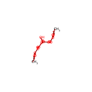 CCCCC[C@H]1CC[C@H](c2ccc(OC(=O)c3ccc(OCCCCCCCCOC(C=O)CC(=O)OCCCCCCCCOc4ccc(OCCCCCCCCOC(=O)CC(C=O)OCCCCCCCCOc5ccc(C(=O)Oc6ccc([C@H]7CC[C@H](CCCCC)CC7)cc6)cc5)c(C(=O)OCCCCCCO)c4)cc3)cc2)CC1